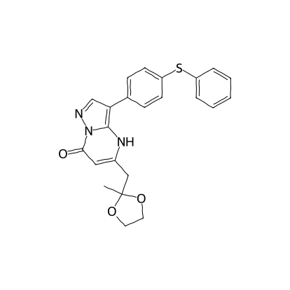 CC1(Cc2cc(=O)n3ncc(-c4ccc(Sc5ccccc5)cc4)c3[nH]2)OCCO1